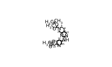 CC(C)(C)OC(=O)N1CCc2cnc(Nc3ccc(CS(C)(=O)=O)nc3)nc2C1